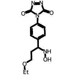 CCOCCC(NO)c1ccc(N2C(=O)N=NC2=O)cc1